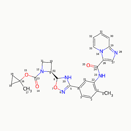 Cc1ccc(C2=NOC([C@@H]3CCN3C(=O)OC3(C)CC3)N2)cc1NC(=O)c1cnc2ccccn12